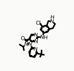 CC(C)n1c(=O)c2cnc(Nc3cc(Cl)c4c(c3)CCNC4)nc2n1-c1cccc(C(C)(C)C)n1